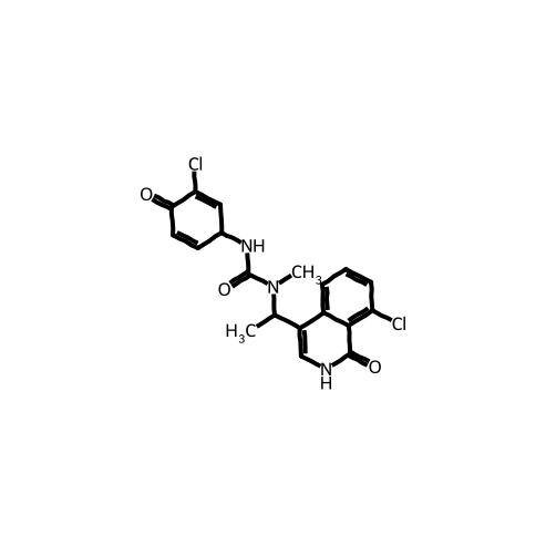 CC(c1c[nH]c(=O)c2c(Cl)cccc12)N(C)C(=O)NC1C=CC(=O)C(Cl)=C1